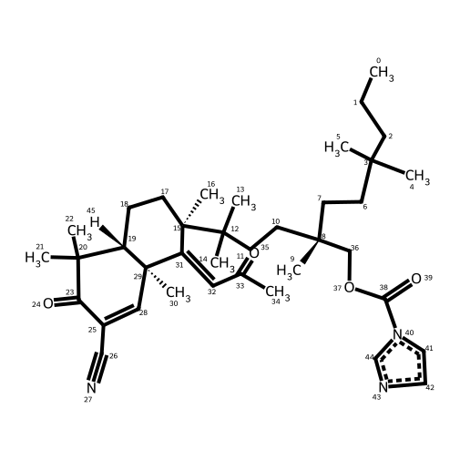 CCCC(C)(C)CC[C@@](C)(CCC(C)(C)[C@]1(C)CC[C@H]2C(C)(C)C(=O)C(C#N)=C[C@]2(C)/C1=C/C(C)=O)COC(=O)n1ccnc1